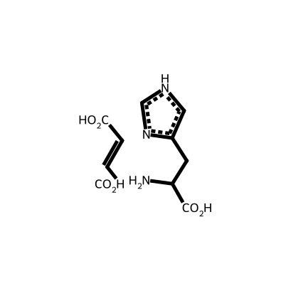 NC(Cc1c[nH]cn1)C(=O)O.O=C(O)C=CC(=O)O